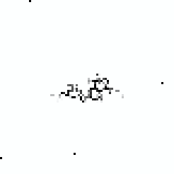 CC(=O)c1ncc(OCCC(C)C)cc1C(F)(F)F